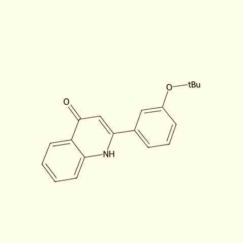 CC(C)(C)Oc1cccc(-c2cc(=O)c3ccccc3[nH]2)c1